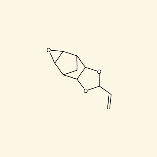 C=CC1OC2C3CC(C2O1)C1OC31